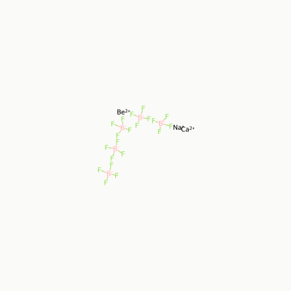 F[B-](F)(F)F.F[B-](F)(F)F.F[B-](F)(F)F.F[B-](F)(F)F.F[B-](F)(F)F.[Be+2].[Ca+2].[Na+]